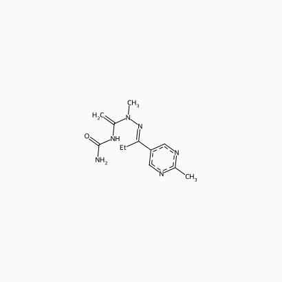 C=C(NC(N)=O)N(C)/N=C(\CC)c1cnc(C)nc1